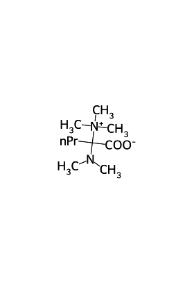 CCCC(C(=O)[O-])(N(C)C)[N+](C)(C)C